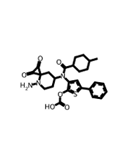 CC1CCC(C(=O)N(c2cc(-c3ccccc3)sc2OC(=O)O)C2CCN(N)C3(C2)C(=O)C3=O)CC1